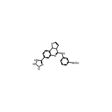 CC(=O)Nc1cccc(NC2=Nc3cc(C4=NNNN4)ccc3C3SC=CC23)c1